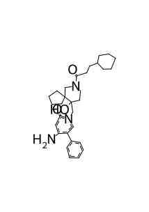 Nc1cc(=O)n(CC2(O)CCN(C(=O)CCC3CCCCC3)CC23CCCC3)cc1-c1ccccc1